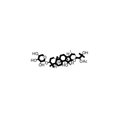 CC(=O)O[C@@H]([C@H]1C[C@@H](C)[C@H]2[C@H](O1)[C@](C)(O)[C@@]1(C)[C@@H]3CC[C@H]4C(C)(C)[C@@H](O[C@@H]5OC[C@@H](O)[C@H](O)[C@H]5O)CC[C@@]45C[C@@]35CC[C@]21C)C(C)(C)O